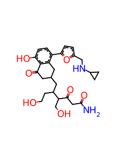 NC(=O)CC(=O)C(CO)C(CCO)CC1CC(=O)c2c(O)ccc(-c3ccc(CNC4CC4)o3)c2C1